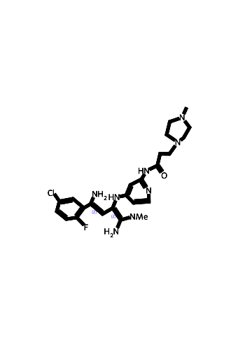 CN/C(N)=C(/C=C(\N)c1cc(Cl)ccc1F)Nc1ccnc(NC(=O)CCN2CCN(C)CC2)c1